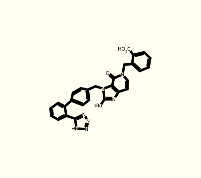 CCCCc1nc2ccn(Cc3ccccc3C(=O)O)c(=O)c2n1Cc1ccc(-c2ccccc2-c2nnn[nH]2)cc1